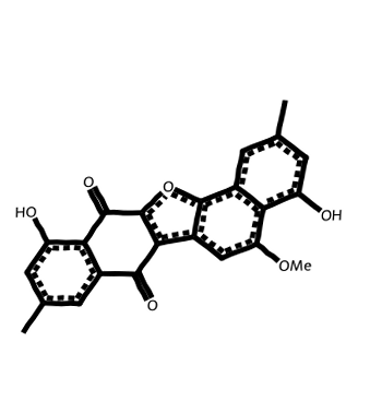 COc1cc2c3c(oc2c2cc(C)cc(O)c12)C(=O)c1c(O)cc(C)cc1C3=O